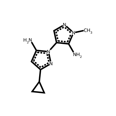 Cn1ncc(-n2nc(C3CC3)cc2N)c1N